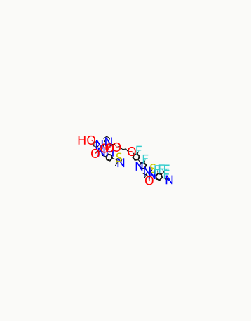 Cc1ncsc1-c1ccc(CNC(=O)[C@@H]2C[C@@H](O)CN2C(=O)[C@@H]2CCCN2C(=O)COCCCCOc2ccc(-c3ncc(N4C(=S)N(c5ccc(C#N)c(C(F)(F)F)c5F)C(=O)C4(C)C)cc3F)cc2F)cc1